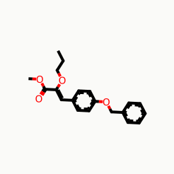 CCCOC(=Cc1ccc(OCc2ccccc2)cc1)C(=O)OC